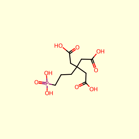 O=C(O)CC(CCCP(=O)(O)O)(CC(=O)O)CC(=O)O